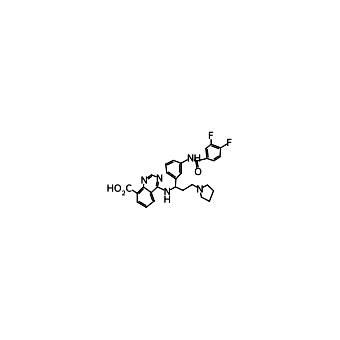 O=C(Nc1cccc(C(CCN2CCCC2)Nc2ncnc3c(C(=O)O)cccc23)c1)c1ccc(F)c(F)c1